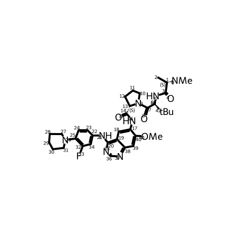 CN[C@@H](C)C(=O)N[C@H](C(=O)N1CCC[C@H]1C(=O)Nc1cc2c(Nc3ccc(N4CCCCC4)c(F)c3)ncnc2cc1OC)C(C)(C)C